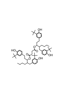 CCCCC(Cc1ccc(O)c(C(C)(C)C)c1)C(CCc1ccc(O)c(C(C)(C)C)c1)OC(=O)CCC(=O)OC(CCc1ccc(O)c(C(C)(C)C)c1)C(CCCC)Cc1ccc(O)c(C(C)(C)C)c1